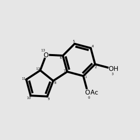 CC(=O)Oc1c(O)ccc2c1C1=CC=CC1O2